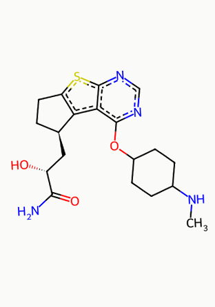 CNC1CCC(Oc2ncnc3sc4c(c23)[C@@H](C[C@@H](O)C(N)=O)CC4)CC1